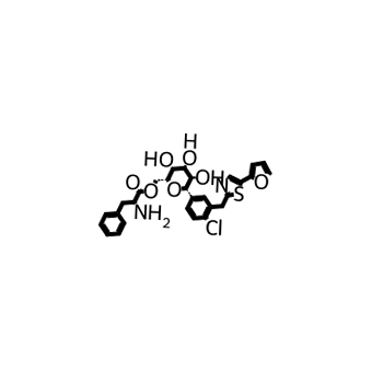 NC(Cc1ccccc1)C(=O)OC[C@H]1O[C@@H](c2ccc(Cl)c(Cc3ncc(-c4ccco4)s3)c2)[C@H](O)[C@H](O)[C@H]1O